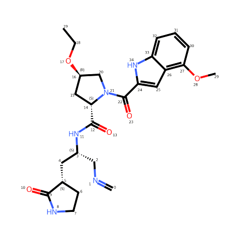 C=NC[C@H](C[C@@H]1CCNC1=O)NC(=O)[C@@H]1C[C@@H](OCC)CN1C(=O)c1cc2c(OC)cccc2[nH]1